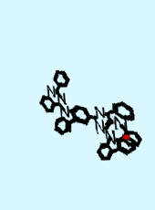 c1ccc(-c2nc(-n3c4ccccc4c4cc(-c5nc(-n6c7ccccc7c7ccccc76)c6c(n5)c5ccccc5n6-c5ccccc5)ccc43)c3ccccc3n2)cc1